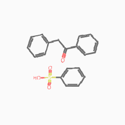 O=C(Cc1ccccc1)c1ccccc1.O=S(=O)(O)c1ccccc1